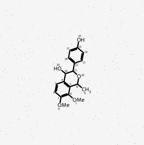 COc1ccc2c(c1OC)C(C)OC(c1ccc(O)cc1)C2O